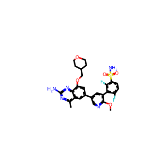 COc1ncc(-c2cc(OCC3CCOCC3)c3nc(N)nc(C)c3c2)cc1-c1c(F)ccc(S(N)(=O)=O)c1F